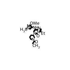 C=CC(=O)N1CCCC(n2cc(Nc3cn(C)nc3OC)c3ncc(CC)n3c2=O)C1